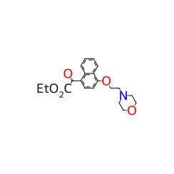 CCOC(=O)C(=O)c1ccc(OCCN2CCOCC2)c2ccccc12